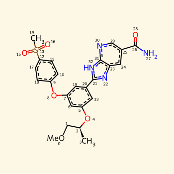 COC[C@H](C)Oc1cc(Oc2ccc(S(C)(=O)=O)cc2)cc(-c2nc3cc(C(N)=O)cnc3[nH]2)c1